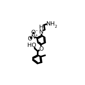 Cc1ccccc1C(CO)Oc1ccc(NCCN)c([N+](=O)[O-])c1